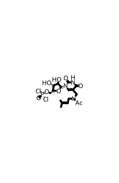 CC(=O)N(CC=C(C)C)Cc1cn([C@@H]2O[C@H](COP(=O)(Cl)Cl)[C@H](O)C2O)c(=O)[nH]c1=O